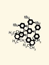 CC(C)(C)c1cc(N2c3ccc(C(C)(C)C)cc3B3c4cc5c(cc4N(c4ccc6c(c4)C(C)(C)CCC6(C)C)c4cc(N(c6ccccc6)c6ccccc6)cc2c43)C(C)(C)CCC5(C)C)cc(C(C)(C)C)c1